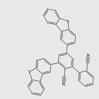 N#Cc1ccccc1-c1cc(-c2ccc3sc4ccccc4c3c2)cc(-c2ccc3sc4ccccc4c3c2)c1C#N